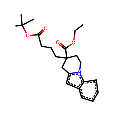 CCOC(=O)C1(CCCC(=O)OC(C)(C)C)CCn2c(cc3ccccc32)C1